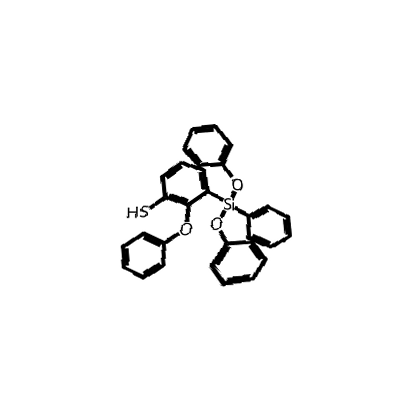 Sc1cccc([Si](Oc2ccccc2)(Oc2ccccc2)c2ccccc2)c1Oc1ccccc1